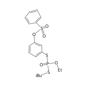 CCOP(=O)(Sc1cccc(OS(=O)(=O)c2ccccc2)c1)SC(C)CC